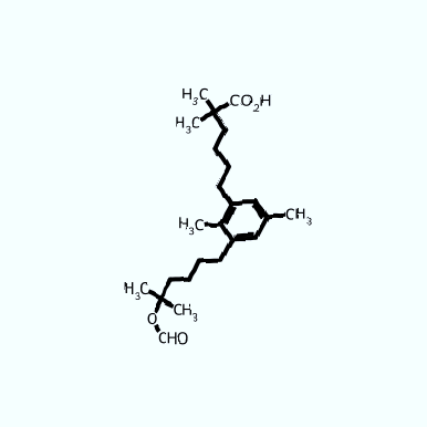 Cc1cc(CCCCC(C)(C)OC=O)c(C)c(CCCCC(C)(C)C(=O)O)c1